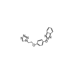 c1ccc2nn(Oc3ccc(OCCn4cnnn4)cc3)nc2c1